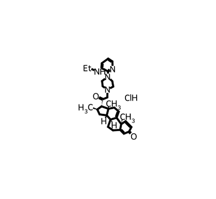 CCNc1cccnc1N1CCN(CC(=O)[C@H]2[C@H](C)C[C@H]3[C@@H]4CCC5=CC(=O)C=C[C@]5(C)C4=CC[C@@]32C)CC1.Cl